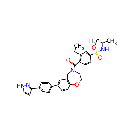 CCc1cc(S(=O)(=O)NC(C)C)ccc1C(=O)N1CCOc2ccc(-c3ccc(-c4cc[nH]n4)cc3)cc2C1